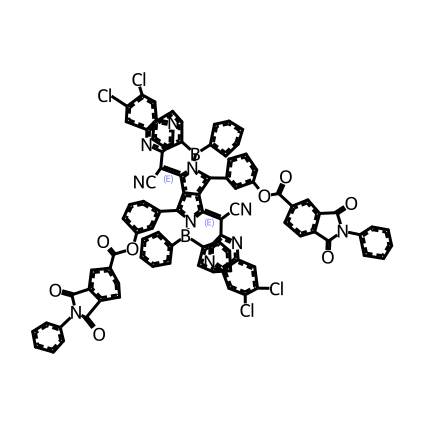 N#C/C(c1cnc2cc(Cl)c(Cl)cc2n1)=c1\c2c(-c3cccc(OC(=O)c4ccc5c(c4)C(=O)N(c4ccccc4)C5=O)c3)n(B(c3ccccc3)c3ccccc3)/c(=C(/C#N)c3cnc4cc(Cl)c(Cl)cc4n3)c2c(-c2cccc(OC(=O)c3ccc4c(c3)C(=O)N(c3ccccc3)C4=O)c2)n1B(c1ccccc1)c1ccccc1